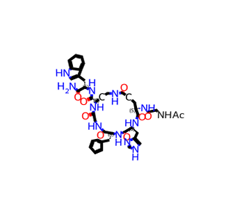 CC(=O)NCC(=O)N[C@H]1CCC(=O)NCC[C@@H](C(=O)N[C@@H](Cc2c[nH]c3ccccc23)C(N)=O)NC(=O)CNC(=O)[C@@H](Cc2ccccc2)NC(=O)[C@H](Cc2c[nH]cn2)NC1=O